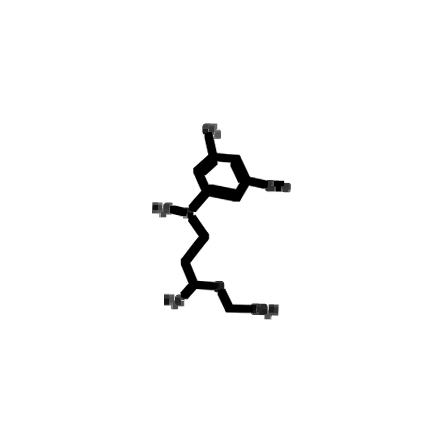 COc1cc(N(C)CCC(C)OCC(=O)O)cc(C(F)(F)F)c1